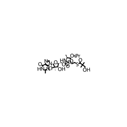 Cc1nc2c(ncn2[C@@H]2O[C@H](CO[P@](=O)(N[C@@H](C)C(=O)OC(C)C)OCCSC(=O)C(C)(C)CO)[C@@H](O)[C@@]2(C)Cl)c(=O)[nH]1